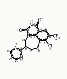 O=c1[nH]c(=O)n2c3c(c(Cl)c(C(F)(F)F)cc13)SCC(c1ncccn1)C2